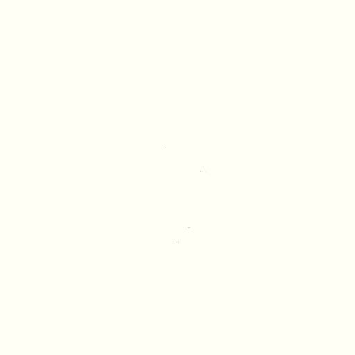 CC(O)C1CCC2C3CC=C4CC5(CC[C@]4(C)C3C(O)CC12C)OCCO5